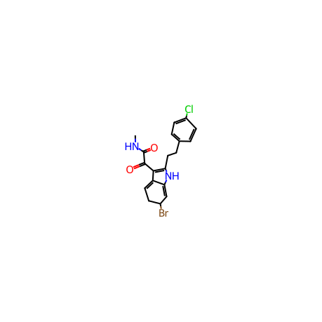 CNC(=O)C(=O)c1c(CCc2ccc(Cl)cc2)[nH]c2c1=CCC(Br)C=2